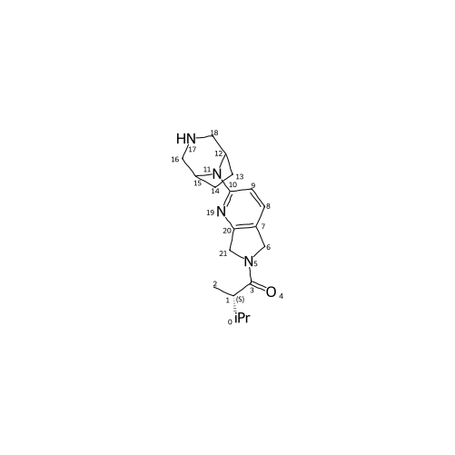 CC(C)[C@H](C)C(=O)N1Cc2ccc(N3C4CCC3CNC4)nc2C1